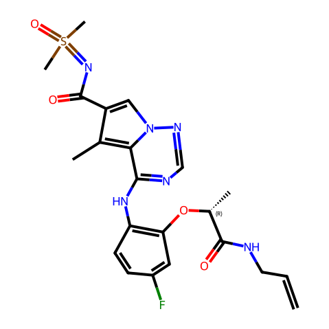 C=CCNC(=O)[C@@H](C)Oc1cc(F)ccc1Nc1ncnn2cc(C(=O)N=S(C)(C)=O)c(C)c12